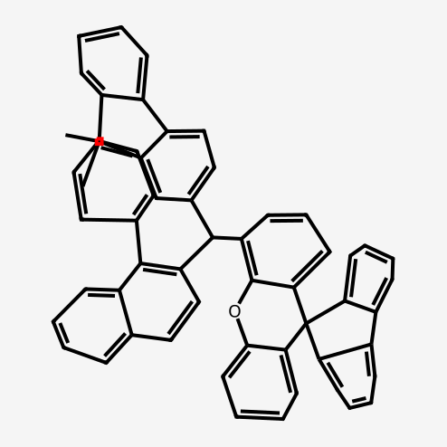 CC1(C)c2ccccc2-c2ccc(C(c3cccc4c3Oc3ccccc3C43c4ccccc4-c4ccccc43)c3ccc4ccccc4c3-c3ccccc3)cc21